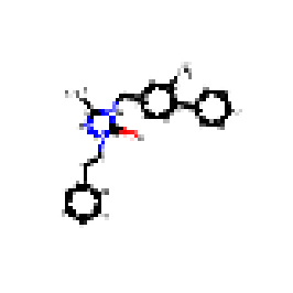 CCCCc1nn(CCc2ccccc2)c(=O)n1Cc1ccc(-c2ccccc2)c(C#N)c1